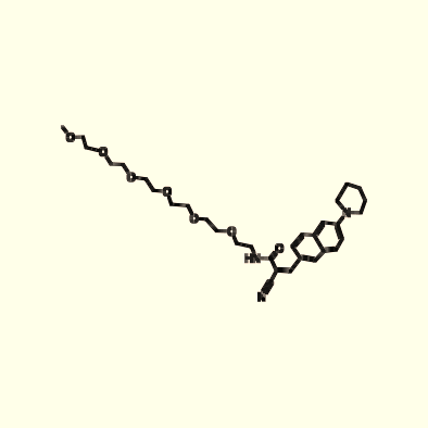 COCCOCCOCCOCCOCCOCCNC(=O)/C(C#N)=C\c1ccc2cc(N3CCCCC3)ccc2c1